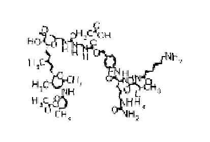 CC(=O)O.CC(=O)O[C@@H](C)/C=C\C(=O)N[C@@H]1C[C@H](C)[C@H](C/C=C(C)/C=C/[C@H]2O[C@H](CNC(=O)NCNC(=O)OCc3ccc(NC(=O)[C@H](CCCNC(N)=O)NC(=O)[C@@H](NC(=O)CCCCCN)C(C)C)cc3)C[C@@]3(CO3)[C@@H]2O)O[C@@H]1C